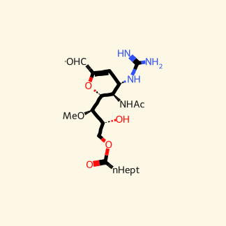 CCCCCCCC(=O)OC[C@@H](O)[C@@H](OC)[C@@H]1OC([C]=O)=C[C@H](NC(=N)N)[C@H]1NC(C)=O